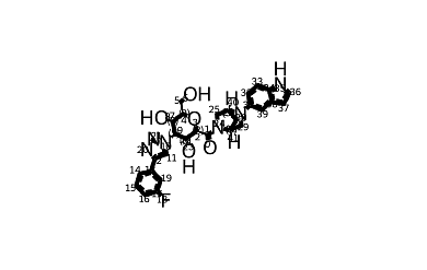 O=C([C@@H]1O[C@H](CO)[C@H](O)[C@H](n2cc(-c3cccc(F)c3)nn2)[C@H]1O)N1C[C@@H]2C[C@H]1CN2c1ccc2[nH]ccc2c1